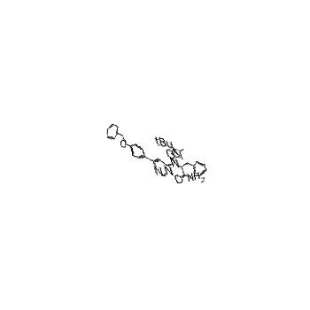 CC(C)(C)[Si](C)(C)ON(c1cc(-c2ccc(OCc3ccccc3)cc2)ncn1)[C@@H](Cc1ccccc1)C(N)=O